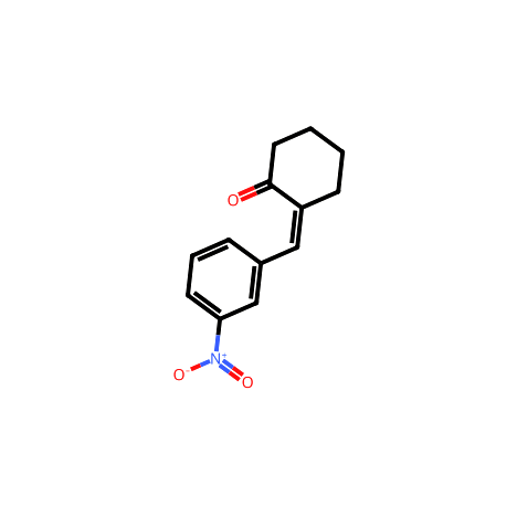 O=C1CCCCC1=Cc1cccc([N+](=O)[O-])c1